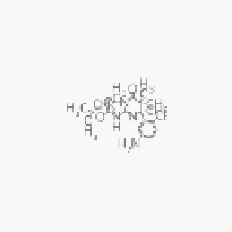 CN1C(=O)C(C)(C)[C@@](C)(c2cc(N)ccc2Cl)N=C1NC(=O)OC(C)(C)C